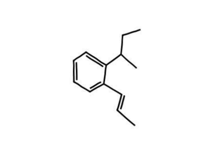 CC=Cc1ccccc1C(C)CC